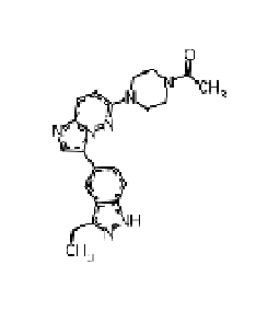 CCc1n[nH]c2ccc(-c3cnc4ccc(N5CCN(C(C)=O)CC5)nn34)cc12